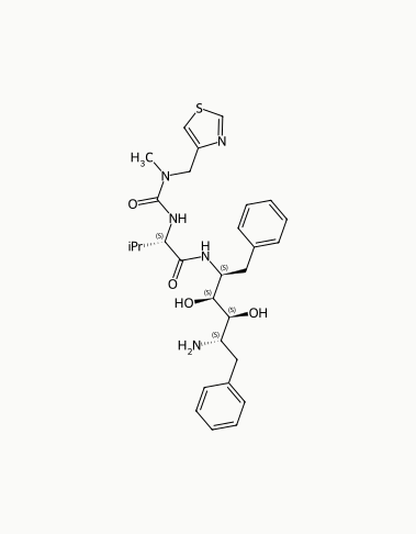 CC(C)[C@H](NC(=O)N(C)Cc1cscn1)C(=O)N[C@@H](Cc1ccccc1)[C@H](O)[C@@H](O)[C@@H](N)Cc1ccccc1